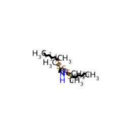 CCCCCC(C)(C)SSC1=CNN(SSC(C)(C)CCCCC)S1